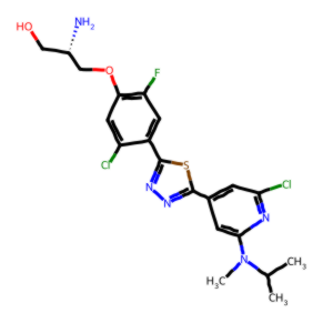 CC(C)N(C)c1cc(-c2nnc(-c3cc(F)c(OC[C@@H](N)CO)cc3Cl)s2)cc(Cl)n1